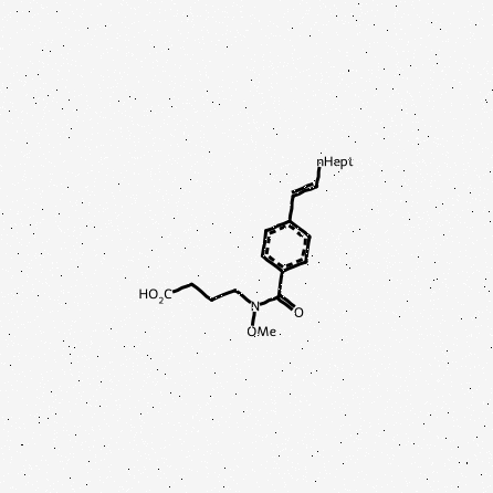 CCCCCCCC=Cc1ccc(C(=O)N(CCCC(=O)O)OC)cc1